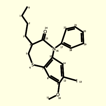 CCCCC1CSc2cc(OC)c(I)cc2N(c2ccccc2)C1=O